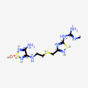 CN=C(N)Nc1nc(CSCCNc2n[s+]([O-])nc2N)ns1